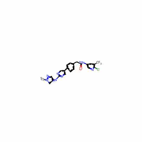 CCn1cc(Nc2ncc(-c3ccc(CC(=O)Nc4cnc(Cl)c(C(F)(F)F)c4)cc3)cn2)cn1